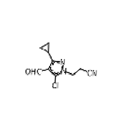 N#CCCn1nc(C2CC2)c(C=O)c1Cl